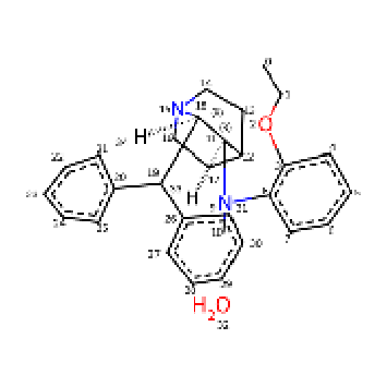 CCOc1ccccc1N(C)[C@@H]1C2CCN(CC2)[C@@H]1C(c1ccccc1)c1ccccc1.O